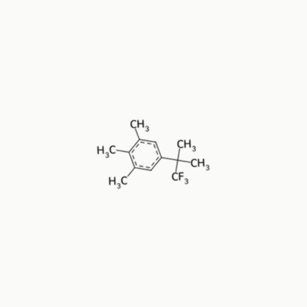 Cc1cc(C(C)(C)C(F)(F)F)cc(C)c1C